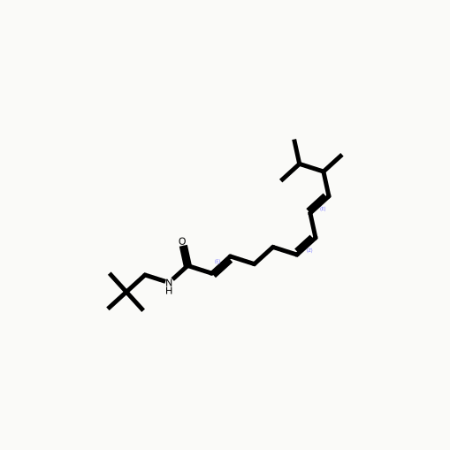 CC(C)C(C)/C=C/C=C\CC/C=C/C(=O)NCC(C)(C)C